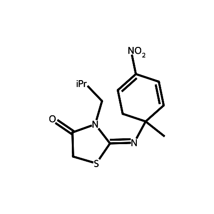 CC(C)CN1C(=O)CSC1=NC1(C)C=CC([N+](=O)[O-])=CC1